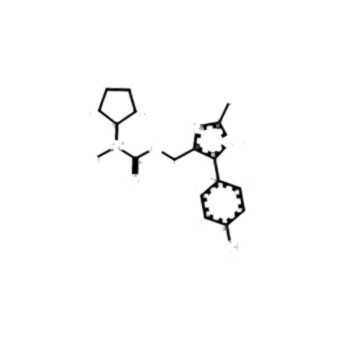 Cc1nc(COC(=O)N(C)C2CCCC2)c(-c2ccc(O)cc2)s1